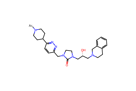 CC(=O)N1CCC(c2ccc(CN3CCN(C[C@H](O)CN4CCc5ccccc5C4)C3=O)nn2)CC1